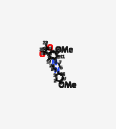 COc1ccc(N2CCN(c3c(C)c(OC)c4c(c3C)C(=O)C(C)(C)O4)CC2)cc1